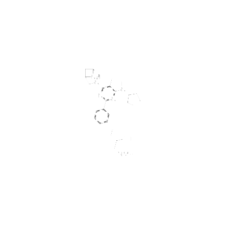 CNCC(O)COc1cccc(-c2nc(NC3CCOC3)c(C)c(N3CC4CC(C3)N4)n2)c1